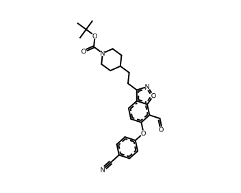 CC(C)(C)OC(=O)N1CCC(CCc2noc3c(C=O)c(Oc4ccc(C#N)cc4)ccc23)CC1